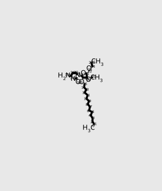 CCCCCCCCCCCCCCCCO[C@@H]1[C@H](OC)[C@@H](COCCC)O[C@H]1n1ccc(N)nc1=O